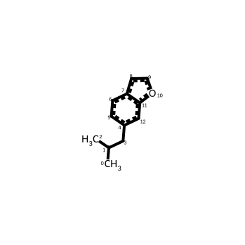 C[C](C)Cc1ccc2ccoc2c1